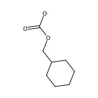 [O]C(=O)OCC1CCCCC1